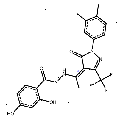 C/C(NNC(=O)c1ccc(O)cc1O)=C1/C(=O)N(c2ccc(C)c(C)c2)N=C1C(F)(F)F